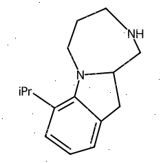 CC(C)c1cccc2c1N1CCCNCC1C2